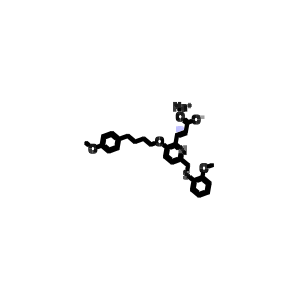 COc1ccc(CCCCOc2ccc(CSc3ccccc3OC)nc2/C=C/C(=O)[O-])cc1.[Na+]